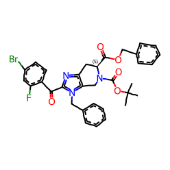 CC(C)(C)OC(=O)N1Cc2c(nc(C(=O)c3ccc(Br)cc3F)n2Cc2ccccc2)C[C@H]1C(=O)OCc1ccccc1